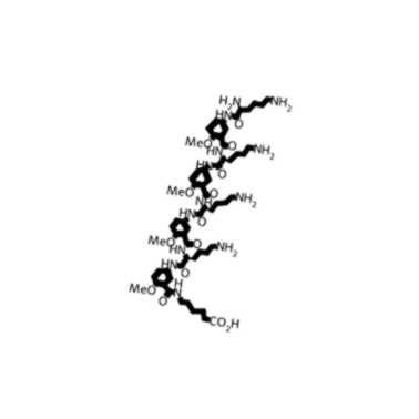 COc1ccc(NC(=O)[C@H](CCCCN)NC(=O)c2cc(NC(=O)[C@H](CCCCN)NC(=O)c3cc(NC(=O)[C@H](CCCCN)NC(=O)c4cc(NC(=O)[C@@H](N)CCCCN)ccc4OC)ccc3OC)ccc2OC)cc1C(=O)NCCCCCC(=O)O